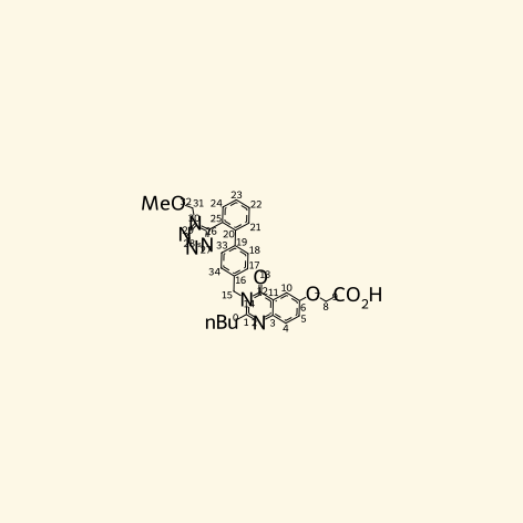 CCCCc1nc2ccc(OCC(=O)O)cc2c(=O)n1Cc1ccc(-c2ccccc2-c2nnnn2COC)cc1